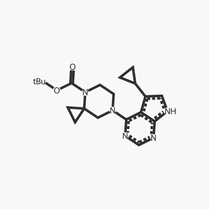 CC(C)(C)OC(=O)N1CCN(c2ncnc3[nH]cc(C4CC4)c23)CC12CC2